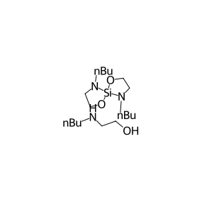 CCCCN1CCO[Si]12OCCN2CCCC.CCCCNCCO